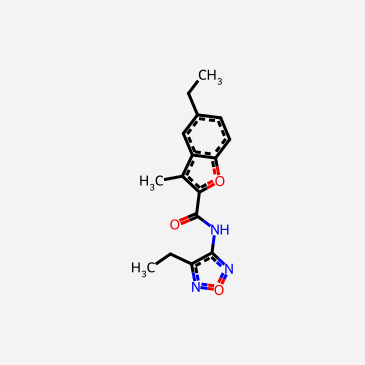 CCc1ccc2oc(C(=O)Nc3nonc3CC)c(C)c2c1